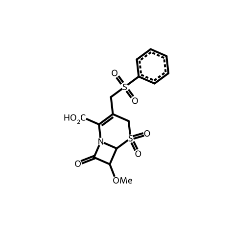 COC1C(=O)N2C(C(=O)O)=C(CS(=O)(=O)c3ccccc3)CS(=O)(=O)C12